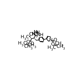 CC(C)[C@H](C(=O)OC(C)(C)C)[C@H](Cc1ccc(C2=CCN(C(=O)OC(C)(C)C)C2)cc1)c1nnn[nH]1